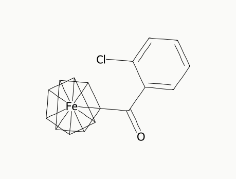 O=C(c1ccccc1Cl)[C]12[CH]3[CH]4[CH]5[CH]1[Fe]45321678[CH]2[CH]1[CH]6[CH]7[CH]28